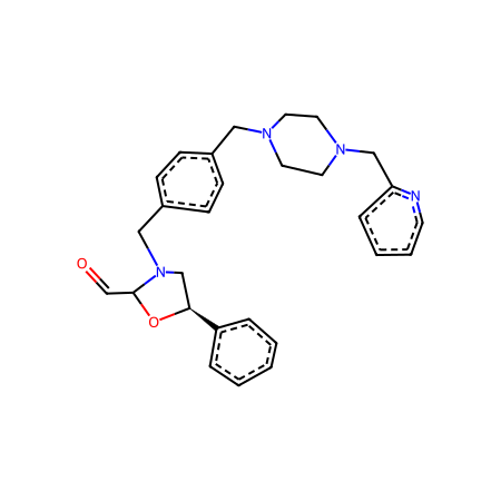 O=CC1O[C@H](c2ccccc2)CN1Cc1ccc(CN2CCN(Cc3ccccn3)CC2)cc1